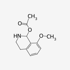 COc1cccc2c1C(OC(C)=O)NCC2